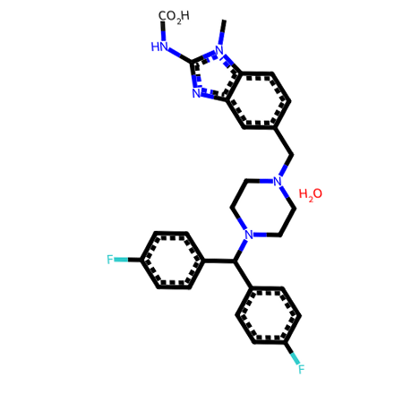 Cn1c(NC(=O)O)nc2cc(CN3CCN(C(c4ccc(F)cc4)c4ccc(F)cc4)CC3)ccc21.O